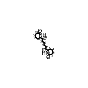 O=C1CCCCC(C(=O)CCCCC(=O)C2CCCCC(=O)N2)N1